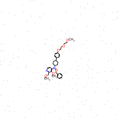 COCCOCCOc1ccc(C2CCC(N(OCc3ccccc3)c3ccnc(COC)c3OC)CC2)cc1